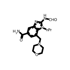 CCCn1c(NC=O)nc2cc(C(N)=O)cc(CN3CCOCC3)c21